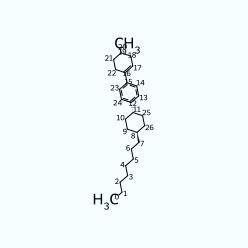 CCCCCCCC[C@H]1CC[C@H](c2ccc(C3=CCC(C)CC3)cc2)CC1